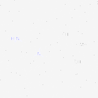 COc1c(C)cc(CN2CCC(N)CC2)cc1C